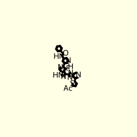 CC(=O)c1ccc(-c2cncc3[nH]c(-c4n[nH]c5cnc(-c6cncc(NC(=O)c7ccccc7)c6)c(F)c45)nc23)s1